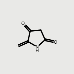 [CH]=C1NC(=O)CC1=O